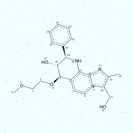 COCCO[C@@H]1c2ccn3c(CO)c(C)nc3c2N[C@H](c2ccccc2)[C@H]1O